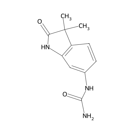 CC1(C)C(=O)Nc2cc(NC(N)=O)ccc21